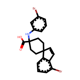 O=C(O)C1(Nc2cccc(Br)c2)CCC2(C=Cc3c(Br)cccc32)CC1